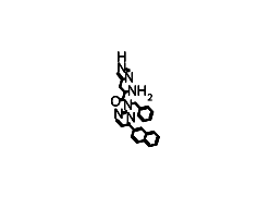 NC(Cc1c[nH]cn1)C(=O)N(Cc1ccccc1)c1nccc(-c2ccc3ccccc3c2)n1